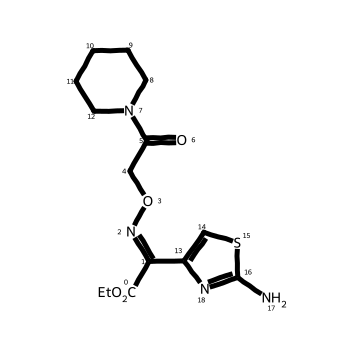 CCOC(=O)C(=NOCC(=O)N1CCCCC1)c1csc(N)n1